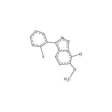 COc1ccc2c(-c3ccccc3F)noc2c1Cl